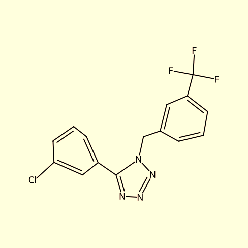 FC(F)(F)c1cccc(Cn2nnnc2-c2cccc(Cl)c2)c1